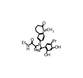 CCNC(=O)c1nnc(-c2cc(C(C)C)c(O)cc2O)n1-c1ccc2c(c1)CCCC(=O)N2C